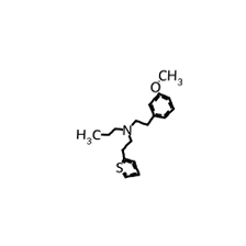 CCCN(CCc1cccc(OC)c1)CCc1cccs1